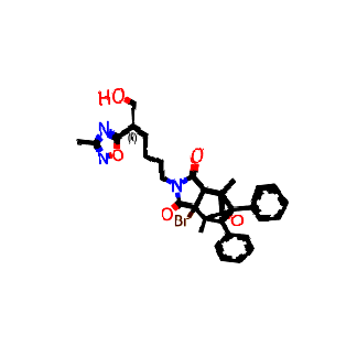 Cc1noc([C@@H](CO)CCCCN2C(=O)C3C4(C)C(=O)C(C)(C(c5ccccc5)=C4c4ccccc4)C3(Br)C2=O)n1